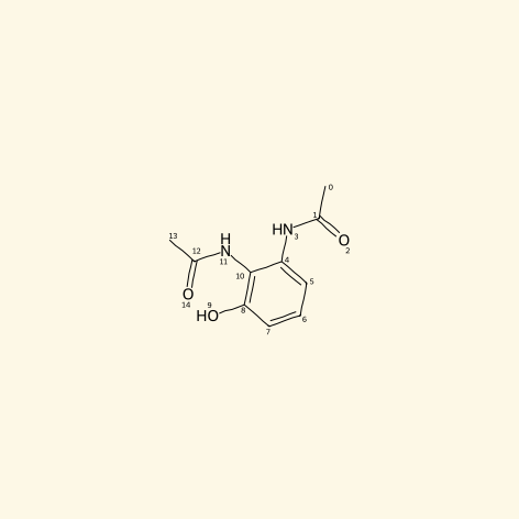 CC(=O)Nc1cccc(O)c1NC(C)=O